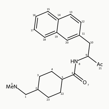 CNCC1CCC(C(=O)NC(Cc2ccc3ccccc3c2)C(C)=O)CC1